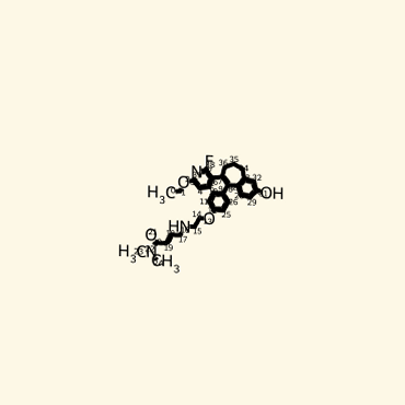 CCOc1ccc(C2=C(c3ccc(OCCNC/C=C/C(=O)N(C)C)cc3)c3ccc(O)cc3CCC2)c(F)n1